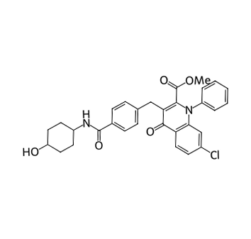 COC(=O)c1c(Cc2ccc(C(=O)NC3CCC(O)CC3)cc2)c(=O)c2ccc(Cl)cc2n1-c1ccccc1